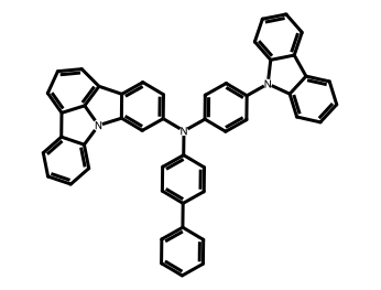 c1ccc(-c2ccc(N(c3ccc(-n4c5ccccc5c5ccccc54)cc3)c3ccc4c5cccc6c7ccccc7n(c4c3)c65)cc2)cc1